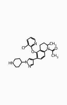 CC(=O)N1c2ccc(-c3cnn(C4CCNCC4)c3)c(Oc3ncccc3Cl)c2CCC1C